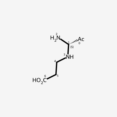 CC(=O)[C@@H](N)NCCC(=O)O